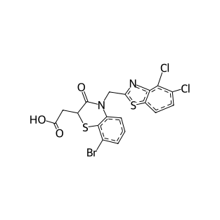 O=C(O)CC1Sc2c(Br)cccc2N(Cc2nc3c(Cl)c(Cl)ccc3s2)C1=O